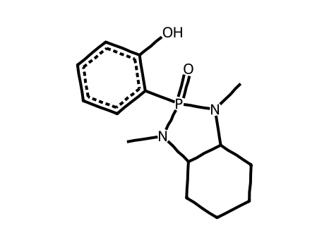 CN1C2CCCCC2N(C)P1(=O)c1ccccc1O